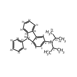 CC(C)N(c1ccc2c(c1)c1ccccc1n2-c1ccccc1)C(C)C